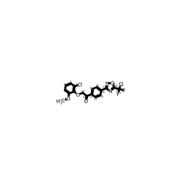 COc1cccc(Cl)c1OCC(=O)c1ccc(-c2noc(C(F)(F)Cl)n2)cc1